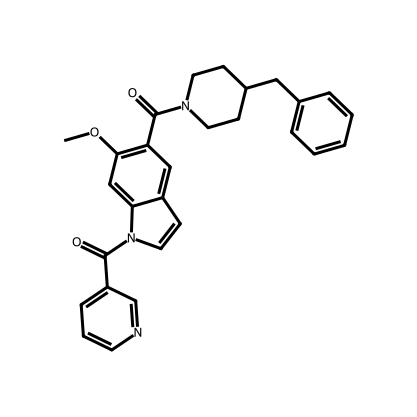 COc1cc2c(ccn2C(=O)c2cccnc2)cc1C(=O)N1CCC(Cc2ccccc2)CC1